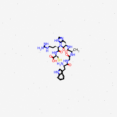 C[C@H](NC(=O)CNC(=O)[C@@H](N)Cc1c[nH]c2ccccc12)C(=O)N[C@@H](Cc1c[nH]cn1)C(=O)N[C@@H](CCCNC(=N)N)C(=O)N[C@@H](CS)C(=O)O